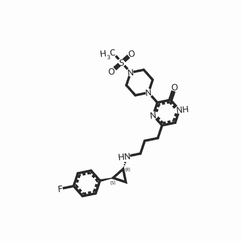 CS(=O)(=O)N1CCN(c2nc(CCCN[C@@H]3C[C@H]3c3ccc(F)cc3)c[nH]c2=O)CC1